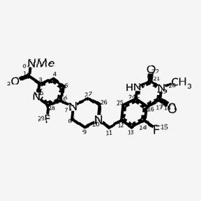 CNC(=O)c1ccc(N2CCN(Cc3cc(F)c4c(=O)n(C)c(=O)[nH]c4c3)CC2)c(F)n1